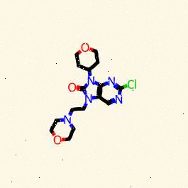 O=c1n(CCN2CCOCC2)c2cnc(Cl)nc2n1C1CCOCC1